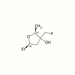 CC[C@@H]1CC(O)(CF)[C@H](C)O1